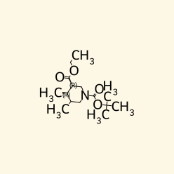 CCOC(=O)[C@H]1CN(C(=O)OC(C)(C)C)CC(C)[C@H]1C